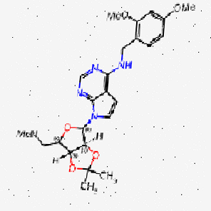 CNC[C@H]1O[C@@H](n2ccc3c(NCc4ccc(OC)cc4OC)ncnc32)[C@H]2OC(C)(C)O[C@@H]21